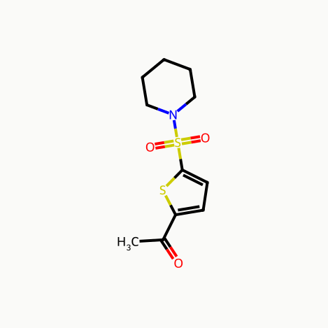 CC(=O)c1ccc(S(=O)(=O)N2CCCCC2)s1